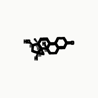 C[C@]12C=CC3=C4CCC(=O)C=C4CC[C@H]3[C@@]13C[C@H]3C[C@@H]2O